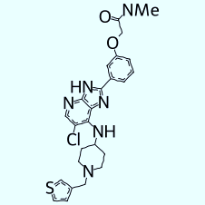 CNC(=O)COc1cccc(-c2nc3c(NC4CCN(Cc5ccsc5)CC4)c(Cl)cnc3[nH]2)c1